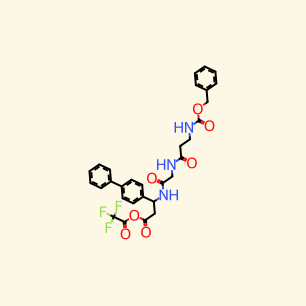 O=C(CCNC(=O)OCc1ccccc1)NCC(=O)NC(CC(=O)OC(=O)C(F)(F)F)c1ccc(-c2ccccc2)cc1